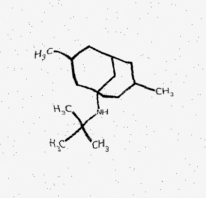 CC1CC2CC(C)CC(NC(C)(C)C)(C1)C2